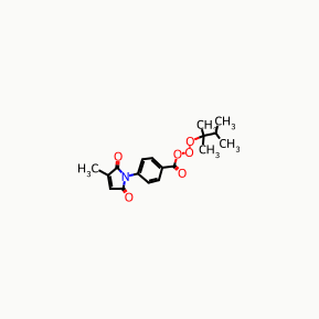 CC1=CC(=O)N(c2ccc(C(=O)OOOC(C)(C)C(C)C)cc2)C1=O